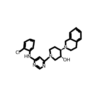 O[C@@H]1CN(c2cc(Nc3ccccc3Cl)ncn2)CC[C@H]1N1CCc2ccccc2C1